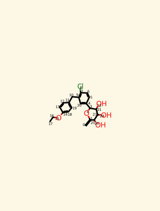 C=C1OC(c2ccc(Cl)c(Cc3ccc(OCC)cc3)c2)C(O)C(O)C1O